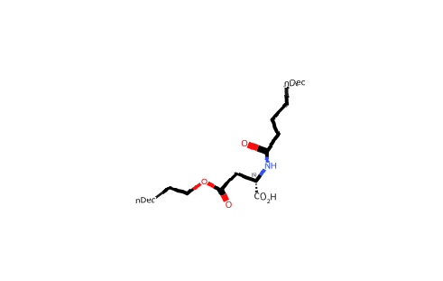 CCCCCCCCCCCCCC(=O)N[C@@H](CC(=O)OCCCCCCCCCCCC)C(=O)O